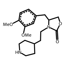 COc1ccc(CC2COC(=O)N2CCC2CCNCC2)cc1OC